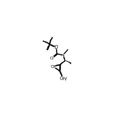 C[C@@H](C1OC1O)N(C)C(=O)OC(C)(C)C